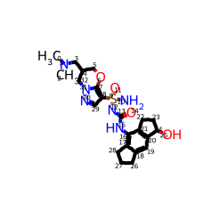 CN(C)CC1COc2c(S(N)(=O)=NC(=O)Nc3c4c(cc5c3CCC5O)CCC4)cnn2C1